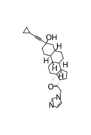 C[C@]12CC[C@H]3[C@@H](CC[C@H]4C[C@@](O)(C#CC5CC5)CC[C@@H]43)[C@@H]1CC[C@@H]2C(=O)Cn1ccnc1